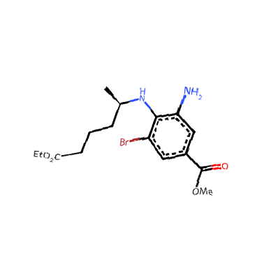 CCOC(=O)CCC[C@@H](C)Nc1c(N)cc(C(=O)OC)cc1Br